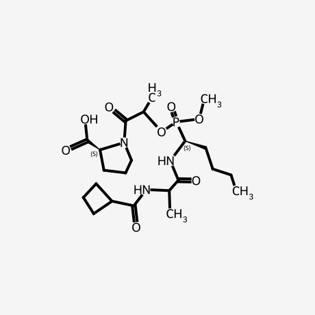 CCCC[C@@H](NC(=O)C(C)NC(=O)C1CCC1)P(=O)(OC)OC(C)C(=O)N1CCC[C@H]1C(=O)O